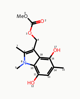 COC(=O)OCc1c(C)n(C)c2c(O)cc(C)c(O)c12